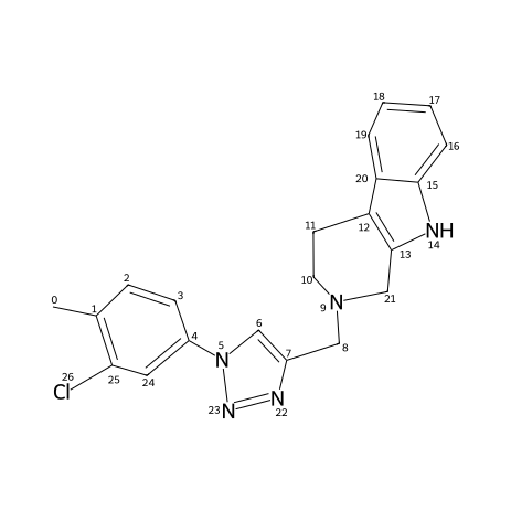 Cc1ccc(-n2cc(CN3CCc4c([nH]c5ccccc45)C3)nn2)cc1Cl